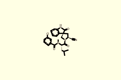 CC(C)C[C@@H](C(=O)N1C[C@]2(C[C@H]1C#N)C(=O)Nc1ccccc12)N(C)C(=O)c1cccc(Cl)c1